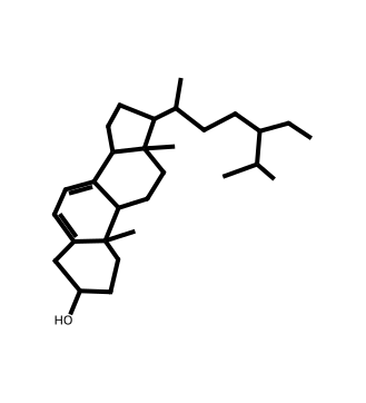 CCC(CCC(C)C1CCC2C3=CC=C4CC(O)CCC4(C)C3CCC21C)C(C)C